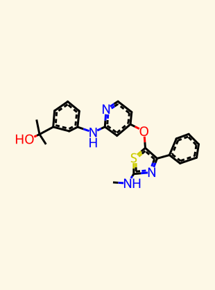 CNc1nc(-c2ccccc2)c(Oc2ccnc(Nc3cccc(C(C)(C)O)c3)c2)s1